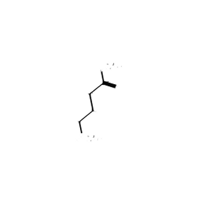 COC(=O)[CH]CCSC